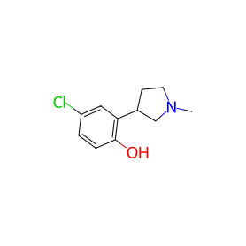 CN1CCC(c2cc(Cl)ccc2O)C1